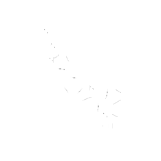 Cc1c(-c2cn(C)c(=O)c3ccccc23)[nH]c2cc(-c3ccc(N4CCNCC4)nc3)ccc12